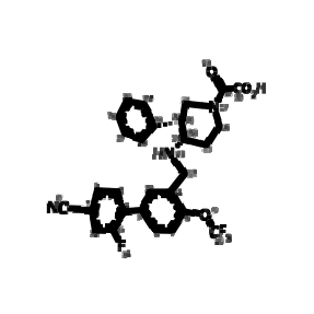 N#Cc1ccc(-c2ccc(OC(F)(F)F)c(CN[C@H]3CCN(C(=O)C(=O)O)C[C@H]3c3ccccc3)c2)c(F)c1